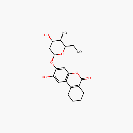 O=NC[C@H]1O[C@@H](Oc2cc3oc(=O)c4c(c3cc2O)CCCC4)C[C@@H](O)[C@H]1N=O